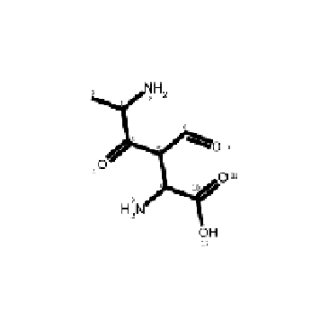 CC(N)C(=O)C(C=O)C(N)C(=O)O